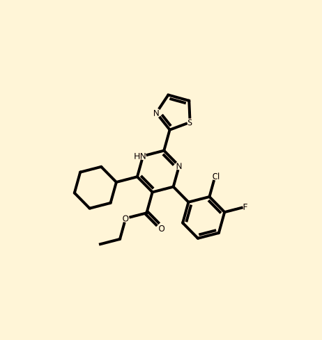 CCOC(=O)C1=C(C2CCCCC2)NC(c2nccs2)=NC1c1cccc(F)c1Cl